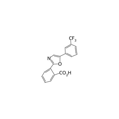 O=C(O)c1ccccc1-c1ncc(-c2cccc(C(F)(F)F)c2)o1